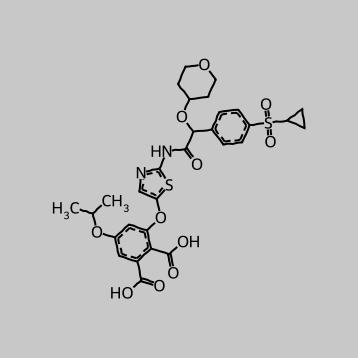 CC(C)Oc1cc(Oc2cnc(NC(=O)C(OC3CCOCC3)c3ccc(S(=O)(=O)C4CC4)cc3)s2)c(C(=O)O)c(C(=O)O)c1